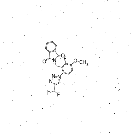 COc1ccc(-n2cc(C(F)F)nn2)c(CN2C(=O)c3ccccc3C2=O)c1F